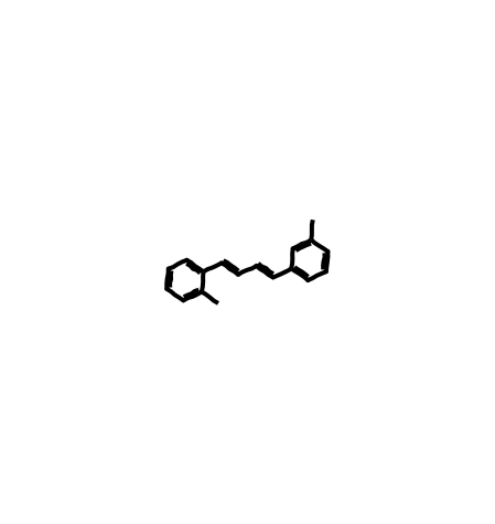 Cc1cccc(C=CC=Cc2ccccc2C)c1